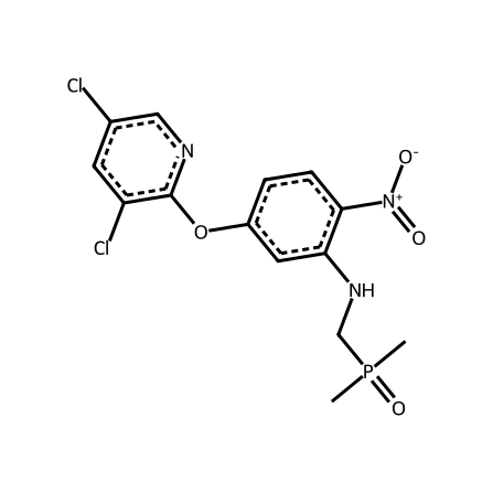 CP(C)(=O)CNc1cc(Oc2ncc(Cl)cc2Cl)ccc1[N+](=O)[O-]